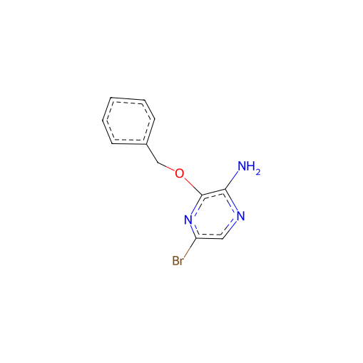 Nc1ncc(Br)nc1OCc1ccccc1